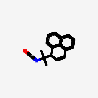 CC(C)(N=C=O)C1C=Cc2cccc3cccc1c23